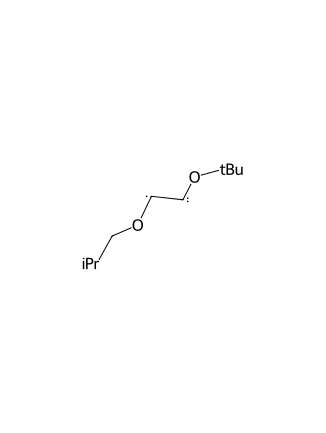 CC(C)CO[CH][C]OC(C)(C)C